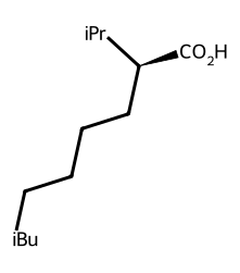 CCC(C)CCCC[C@H](C(=O)O)C(C)C